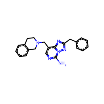 Nc1ncc(CN2CCc3ccccc3C2)c2nc(Cc3ccccc3)nn12